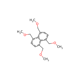 COCc1ccc(COC)c2c(COC)ccc(COC)c12